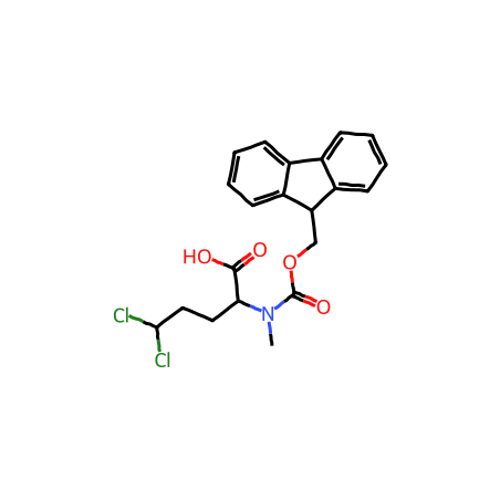 CN(C(=O)OCC1c2ccccc2-c2ccccc21)C(CCC(Cl)Cl)C(=O)O